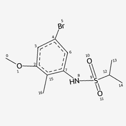 COc1cc(Br)cc(NS(=O)(=O)C(C)C)c1C